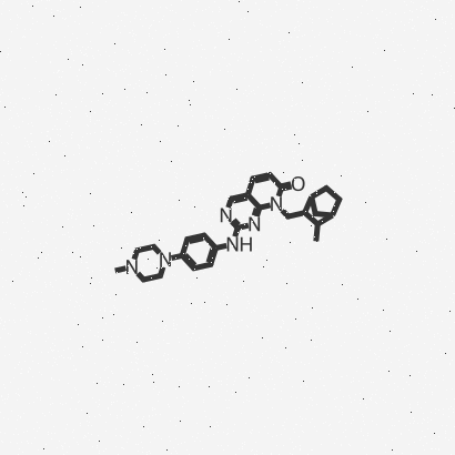 CC1C2CCC(C2)C1Cn1c(=O)ccc2cnc(Nc3ccc(N4CCN(C)CC4)cc3)nc21